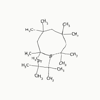 CC(C)C(C)(C)C(C)(C)B1C(C)(C)CC(C)(C)CC(C)(C)CC1(C)C